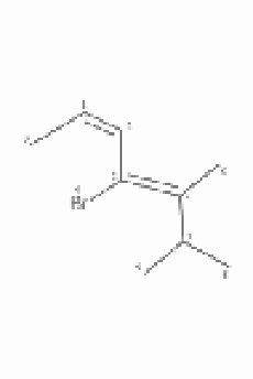 C/C=C\C(Br)=C(/C)C(C)C